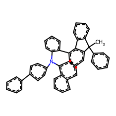 CC1(c2ccccc2)c2ccccc2-c2c(-c3ccccc3N(c3ccc(-c4ccccc4)cc3)c3cccc4ccccc34)cccc21